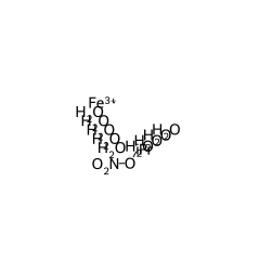 CC(C)O[N+](=O)[O-].O.O.O.O.O.O.O.O.O.[Fe+3]